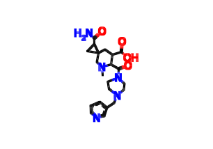 CN1CC2(CC(C(=O)O)C1C(=O)N1CCN(Cc3cccnc3)CC1)CC2C(N)=O